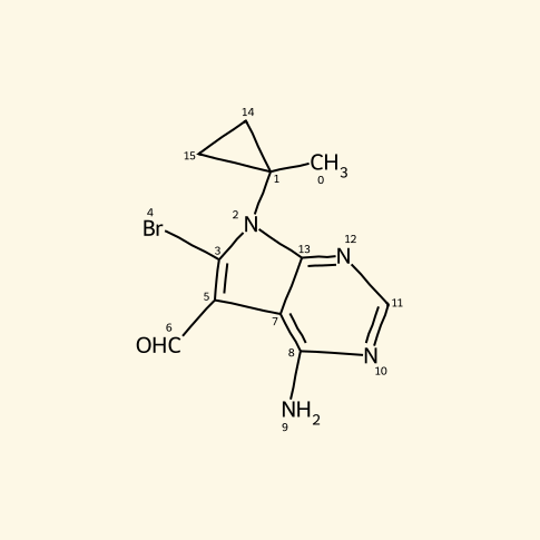 CC1(n2c(Br)c(C=O)c3c(N)ncnc32)CC1